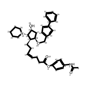 CC(=O)Nc1ccc(OC(=O)CC/C=C\CC[C@H]2[C@H](N3CCCCC3)[C@H](O)C[C@H]2OCc2ccc(-c3ccccc3)cc2)cc1